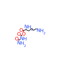 NCCCC[C@H](N)C(=O)OC(=O)NC(N)=O